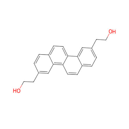 OCCc1ccc2ccc3c4cc(CCO)ccc4ccc3c2c1